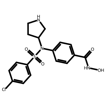 O=C(NO)c1ccc(N(C2CCNC2)S(=O)(=O)c2ccc(Cl)cc2)cc1